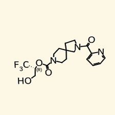 O=C(O[C@H](CO)C(F)(F)F)N1CCC2(CC1)CCN(C(=O)c1ccccn1)C2